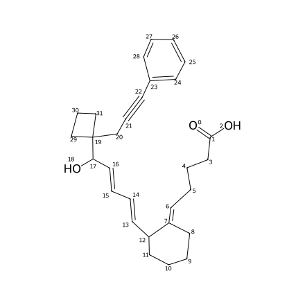 O=C(O)CCCC=C1CCCCC1C=CC=CC(O)C1(CC#Cc2ccccc2)CCC1